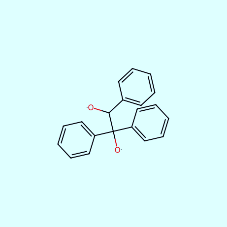 [O]C(c1ccccc1)C([O])(c1ccccc1)c1ccccc1